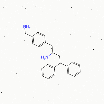 NCc1ccc(CC(N)CC(c2ccccc2)c2ccccc2)cc1